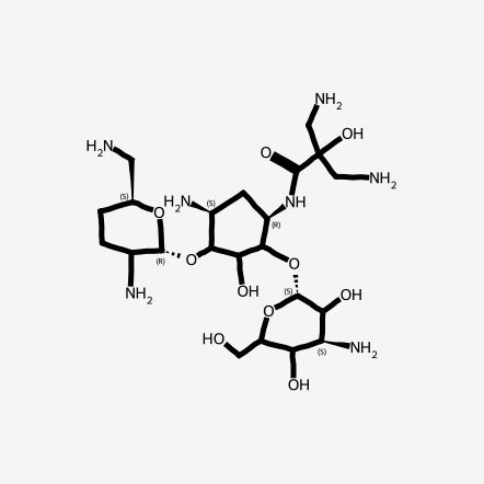 NC[C@@H]1CCC(N)[C@@H](OC2C(O)C(O[C@H]3OC(CO)C(O)[C@H](N)C3O)[C@H](NC(=O)C(O)(CN)CN)C[C@@H]2N)O1